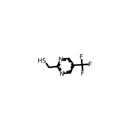 FC(F)(F)c1cnc(CS)nc1